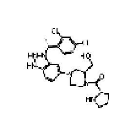 C[C@H](c1ccc(Cl)cc1Cl)N1NNc2ccc(N3CCN(C(=O)[C@H]4CCCN4)[C@H](CO)C3)cc21